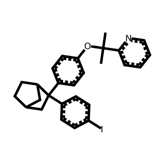 CC(C)(Oc1ccc(C2(c3ccc(I)cc3)CC3CCC2C3)cc1)c1ccccn1